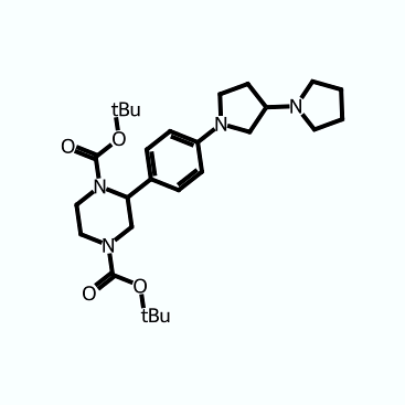 CC(C)(C)OC(=O)N1CCN(C(=O)OC(C)(C)C)C(c2ccc(N3CCC(N4CCCC4)C3)cc2)C1